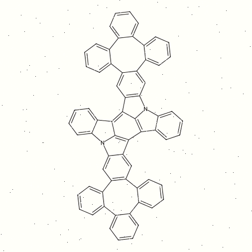 c1ccc2c(c1)-c1ccccc1-c1cc3c4c5c6ccccc6n6c7cc8c(cc7c(c7c9ccccc9n(c3cc1-c1ccccc1-2)c74)c56)-c1ccccc1-c1ccccc1-c1ccccc1-8